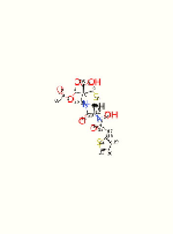 CC(=O)OCC1(C(=O)O)CS[C@@H]2C(N(O)C(=O)Cc3cccs3)C(=O)N2C1